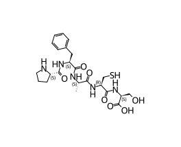 C[C@H](NC(=O)[C@H](Cc1ccccc1)NC(=O)[C@@H]1CCCN1)C(=O)N[C@@H](CS)C(=O)N[C@@H](CO)C(=O)O